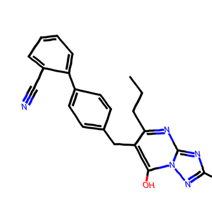 CCCc1nc2nc(C)nn2c(O)c1Cc1ccc(-c2ccccc2C#N)cc1